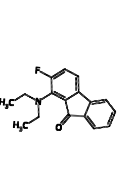 CCN(CC)c1c(F)ccc2c1C(=O)c1ccccc1-2